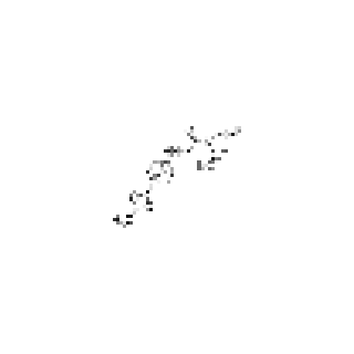 CC1OC(C23CCC(NCC(=O)N4C[C@@H](F)C[C@H]4C#N)(CC2)CC3)O1